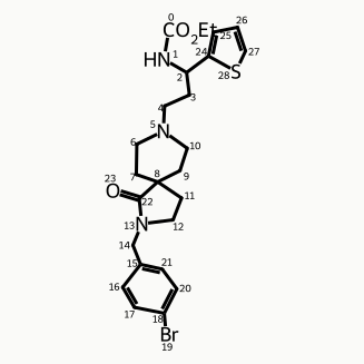 CCOC(=O)NC(CCN1CCC2(CC1)CCN(Cc1ccc(Br)cc1)C2=O)c1cccs1